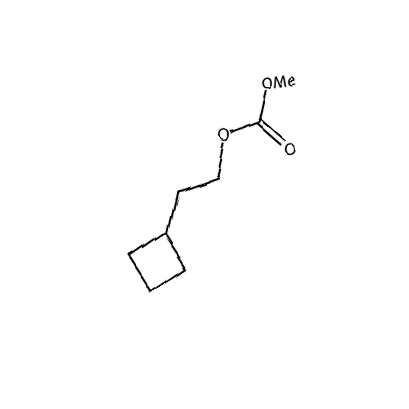 [CH2]OC(=O)OCCC1CCC1